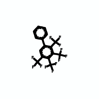 FC(F)(F)c1cc(-c2ccccc2)c(C(F)(F)F)c(C(F)(F)F)c1C(F)(F)F